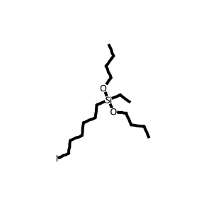 CCCCO[Si](CC)(CCCCCCI)OCCCC